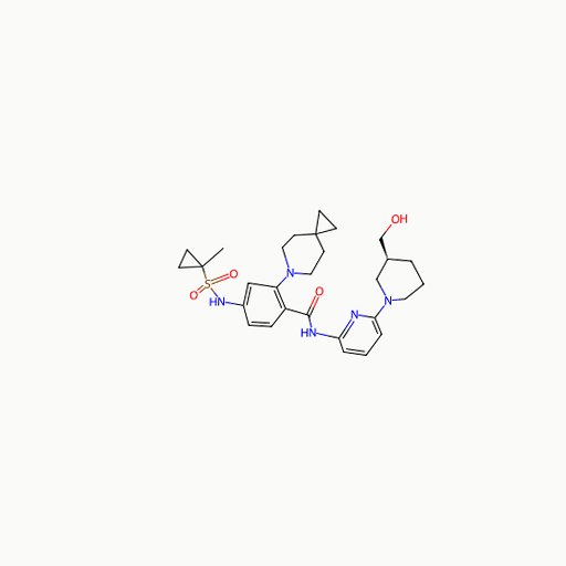 CC1(S(=O)(=O)Nc2ccc(C(=O)Nc3cccc(N4CCC[C@H](CO)C4)n3)c(N3CCC4(CC3)CC4)c2)CC1